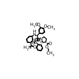 CCOC(=O)[C@H]1CCN(C(=O)[C@@H](Nc2cccc(C(N)=O)c2)c2ccc(OC)c(OC)c2)[C@H]1c1ccccc1S(C)(=O)=O